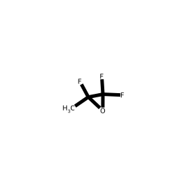 CC1(F)OC1(F)F